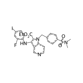 CCOC(=O)c1c(Nc2ccc(I)cc2F)c2cnccc2n1Cc1ccc(S(=O)(=O)N(C)C)cc1